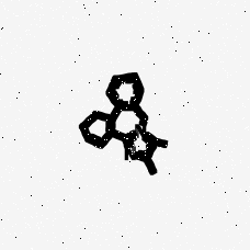 Cc1nc2n(c1C)Cc1ccccc1C1=C2C=CCC1